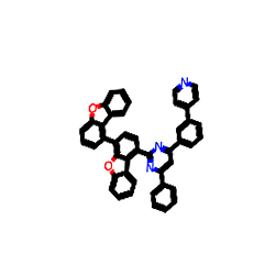 c1ccc(-c2cc(-c3cccc(-c4ccncc4)c3)nc(-c3ccc(-c4cccc5oc6ccccc6c45)c4oc5ccccc5c34)n2)cc1